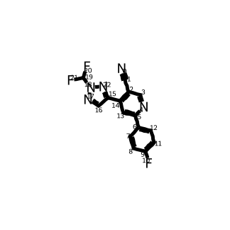 N#Cc1cnc(-c2ccc(F)cc2)cc1-c1cnn(C(F)F)n1